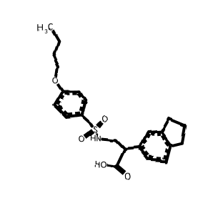 CCCCOc1ccc(S(=O)(=O)NCC(C(=O)O)c2ccc3c(c2)CCC3)cc1